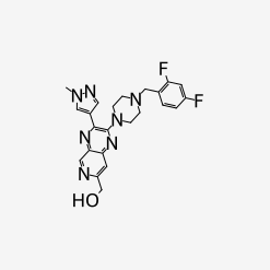 Cn1cc(-c2nc3cnc(CO)cc3nc2N2CCN(Cc3ccc(F)cc3F)CC2)cn1